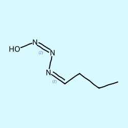 CCC/C=N\N=N/O